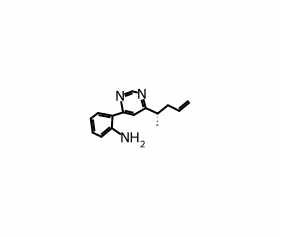 C=CC[C@H](C)c1cc(-c2ccccc2N)ncn1